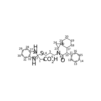 O=C(O)CC1(SCCCN(C(=O)C(c2ccccc2)C2CCCCC2)C2CC2)Nc2ccccc2N1